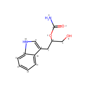 NC(=O)OC(CO)Cc1c[nH]c2ccccc12